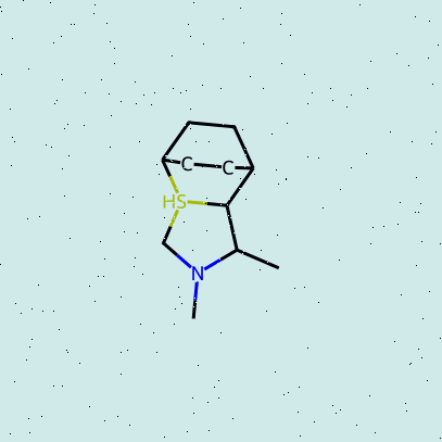 CC1C2C3CCC(CC3)[SH]2CN1C